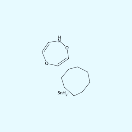 C1CCCCCCC1.[SnH2].c1cocco[nH]1